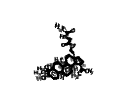 C=C(C)[C@@H]1CC[C@]2(CCOC(=O)CNC(C)=O)CC[C@]3(C)[C@H](CC[C@@H]4[C@@]5(C)CC[C@H](O)C(C)(C)[C@@H]5CC[C@]43C)[C@@H]12